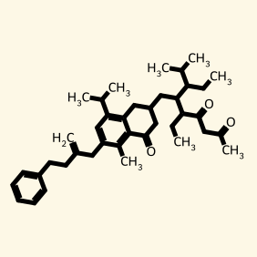 C=C(CCc1ccccc1)Cc1cc(C(C)C)c2c(c1C)C(=O)CC(CC(C(CC)C(=O)CC(C)=O)C(CC)C(C)C)C2